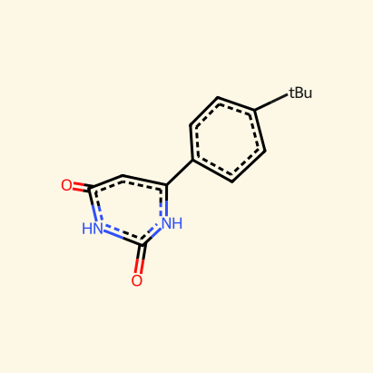 CC(C)(C)c1ccc(-c2cc(=O)[nH]c(=O)[nH]2)cc1